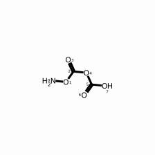 NOC(=O)OC(=O)O